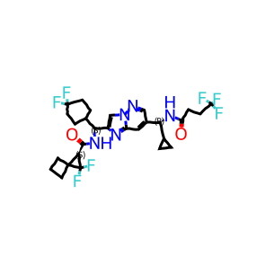 O=C(CCC(F)(F)F)N[C@@H](c1cnn2cc([C@@H](NC(=O)[C@H]3C(F)(F)C34CCC4)C3CCC(F)(F)CC3)nc2c1)C1CC1